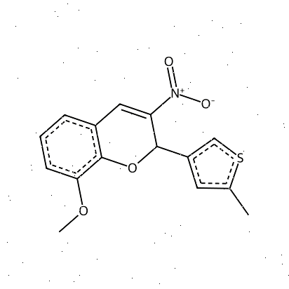 COc1cccc2c1OC(c1csc(C)c1)C([N+](=O)[O-])=C2